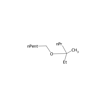 CCCCCCOC(C)(CC)CCC